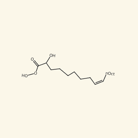 CCCCCCCC/C=C\CCCCCCC(O)C(=O)OO